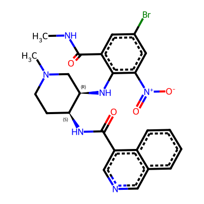 CNC(=O)c1cc(Br)cc([N+](=O)[O-])c1N[C@@H]1CN(C)CC[C@@H]1NC(=O)c1cncc2ccccc12